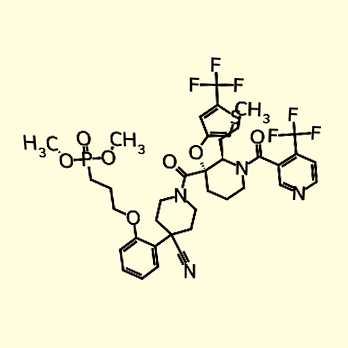 CCC[C@H]1N(C(=O)c2cnccc2C(F)(F)F)CCC[C@@]1(Oc1csc(C(F)(F)F)c1)C(=O)N1CCC(C#N)(c2ccccc2OCCCP(=O)(OC)OC)CC1